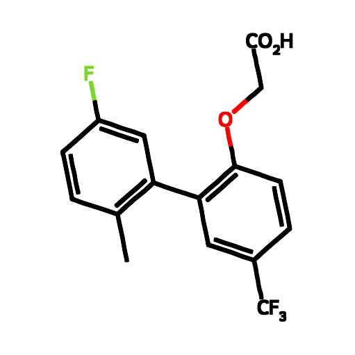 Cc1ccc(F)cc1-c1cc(C(F)(F)F)ccc1OCC(=O)O